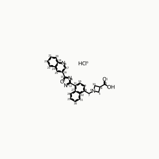 Cl.O=C(O)C1CN(Cc2ccc(-c3noc(-c4cnc5ccccc5c4)n3)c3ccccc23)C1